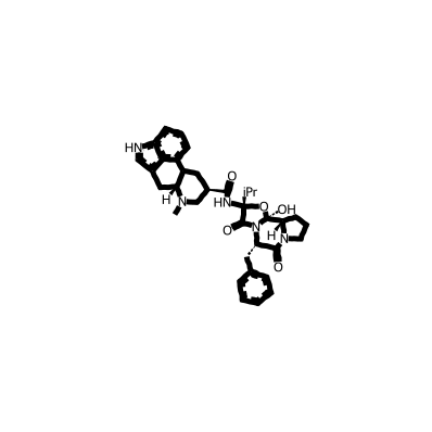 CC(C)[C@@]1(NC(=O)[C@@H]2CC3c4cccc5[nH]cc(c45)C[C@H]3N(C)C2)O[C@@]2(O)[C@@H]3CCCN3C(=O)[C@H](Cc3ccccc3)N2C1=O